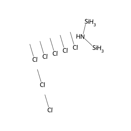 CCl.CCl.CCl.CCl.CCl.CCl.CCl.[SiH3]N[SiH3]